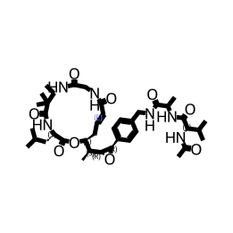 CC(=O)N[C@H](C(=O)NC(C)C(=O)NCc1ccc([C@H]2O[C@@H]2[C@@H](C)[C@@H]2C/C=C/C(=O)NCC(=O)NC(C)C(C)(C)C(=O)N[C@@H](CC(C)C)C(=O)O2)cc1)C(C)C